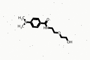 CN(C)c1ccc(C(=O)NCCOCCO)cc1